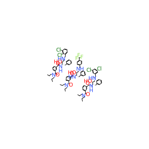 CCCN(CCC)C(=O)c1cccc(C(=O)N[C@@H](Cc2ccccc2)[C@H](O)CNCc2cc(Cl)cc(Cl)c2)c1.CCCN(CCC)C(=O)c1cccc(C(=O)N[C@@H](Cc2ccccc2)[C@H](O)CNCc2ccc(C(F)(F)F)cc2)c1.CCCN(CCC)C(=O)c1cccc(C(=O)N[C@@H](Cc2ccccc2)[C@H](O)CNCc2cccc(Cl)c2Cl)c1